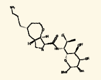 CSC1O[C@H]([C@H](NC(=O)[C@H]2NC[C@@H]3C[C@H](CCCN)CCO[C@H]32)[C@H](C)Cl)[C@@H](O)C(O)[C@H]1O